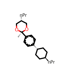 CCC[C@H]1CC[C@H](c2ccc([C@]3(C)OC[C@@H](CCC)CO3)cc2)CC1